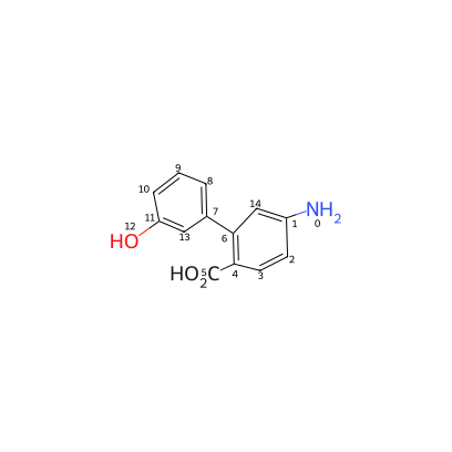 Nc1ccc(C(=O)O)c(-c2cccc(O)c2)c1